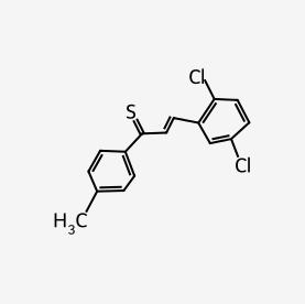 Cc1ccc(C(=S)C=Cc2cc(Cl)ccc2Cl)cc1